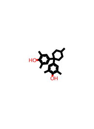 Cc1cc(C2(c3cc(C)c(O)c(C)c3)CCC(C)CC2)cc(C)c1O